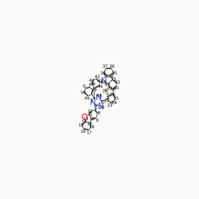 c1ccc(-c2nc(-c3ccc4c(c3)oc3ccccc34)nc(-c3cccc4c3sc3c4ccc4c5ccccc5n(-c5ccccc5)c43)n2)cc1